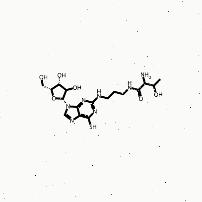 CC(O)C(N)C(=O)NCCCNc1nc(S)c2ncn([C@@H]3O[C@H](CO)[C@H](O)C3O)c2n1